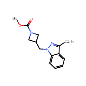 CCOC(=O)c1nn(CC2CN(C(=O)OC(C)(C)C)C2)c2ccccc12